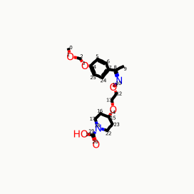 COCOc1ccc(/C(C)=N\OCCOC2CCN(C(=O)O)CC2)cc1